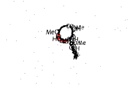 CO[C@H]1C[C@@H]2CC[C@@H](C)[C@@](O)(O2)C(=O)C(=O)N2CCCC[C@H]2C(=O)O[C@H]([C@H](N)C[C@@H]2CC[C@@H](OC(=O)NCc3ccc(N=[N+]=[N-])cc3)[C@H](OC)C2)CC(=O)[C@H](C)/C=C(\C)[C@@H](O)[C@@H](OC)C(=O)[C@H](C)C[C@H](C)/C=C/C=C/C=C/1C